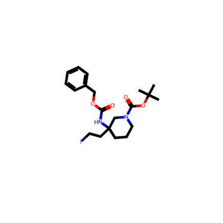 CC(C)(C)OC(=O)N1CCCC(CCI)(NC(=O)OCc2ccccc2)C1